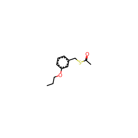 CCCOc1cccc(CSC(C)=O)c1